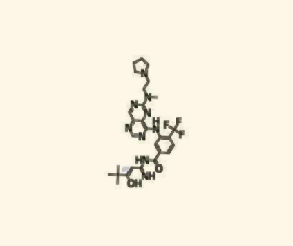 CN(CCN1CCCC1)c1ncc2ncnc(Nc3cc(C(=O)NC(=N)/C=C(\O)C(C)(C)C)ccc3C(F)(F)F)c2n1